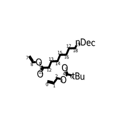 C=CCOC(=O)C(C)(C)C.C=COC(=O)CCCCCCCCCCCCCCCCC